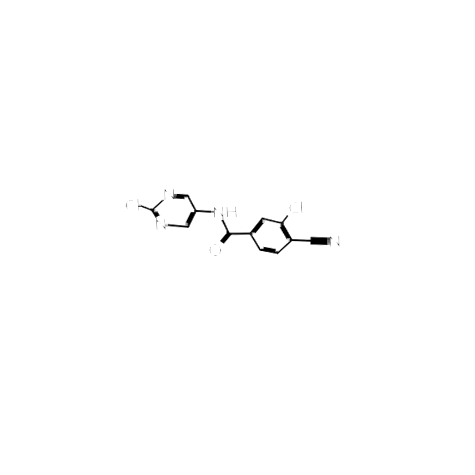 N#Cc1ccc(C(=O)Nc2cnc(Cl)nc2)cc1Cl